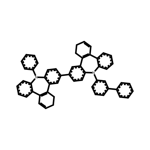 C1=CC2=C(CC1)c1cc(-c3ccc4c(c3)C3=C(C=CCC3)c3ccccc3N4c3cccc(-c4ccccc4)c3)ccc1N(c1ccccc1)c1ccccc12